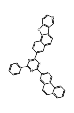 c1ccc(-c2nc(-c3ccc4c(ccc5ccccc54)c3)nc(-c3ccc4c(ccc5c6cnccc6oc45)c3)n2)cc1